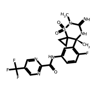 CN1C(=N)N[C@](C)(c2cc(NC(=O)c3ncc(C(F)(F)F)cn3)ccc2F)C2(CC2)S1(=O)=O